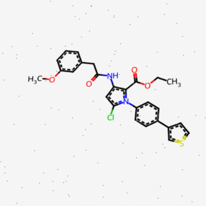 CCOC(=O)c1c(NC(=O)Cc2cccc(OC)c2)cc(Cl)n1-c1ccc(-c2ccsc2)cc1